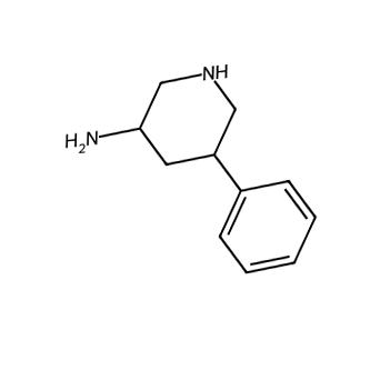 NC1CNCC(c2ccccc2)C1